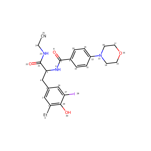 CCc1cc(CC(NC(=O)c2ccc(N3CCOCC3)cc2)C(=O)NCC#N)cc(I)c1O